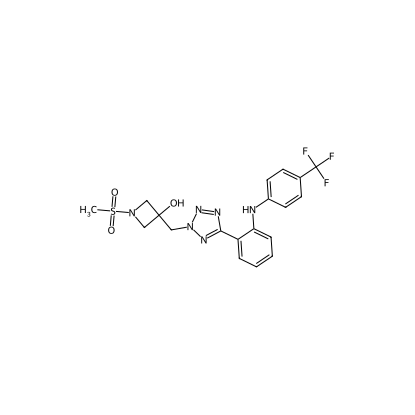 CS(=O)(=O)N1CC(O)(Cn2nnc(-c3ccccc3Nc3ccc(C(F)(F)F)cc3)n2)C1